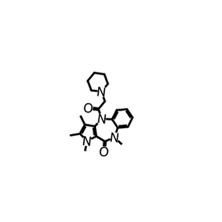 Cc1c2c(n(C)c1C)C(=O)N(C)c1ccccc1N2C(=O)CN1CCCCC1